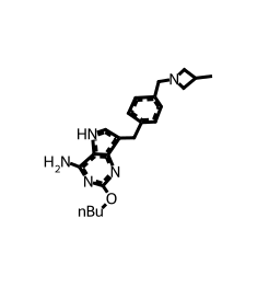 CCCCOc1nc(N)c2[nH]cc(Cc3ccc(CN4CC(C)C4)cc3)c2n1